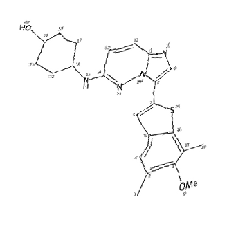 COc1c(C)cc2cc(-c3cnc4ccc(NC5CCC(O)CC5)nn34)sc2c1C